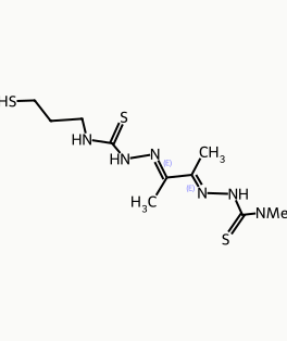 CNC(=S)N/N=C(C)/C(C)=N/NC(=S)NCCCS